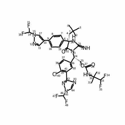 CC(C)(C)C[C@]1(c2ccc(-c3cnn(C(F)F)c3)cc2)NC(=N)N([C@H](COC(=O)NC(C)(C)C(F)F)c2ccc(Cl)c(-c3ncn(C(F)F)n3)c2)C1=O